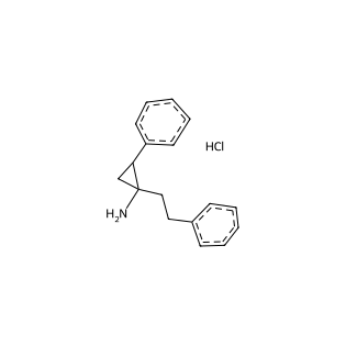 Cl.NC1(CCc2ccccc2)CC1c1ccccc1